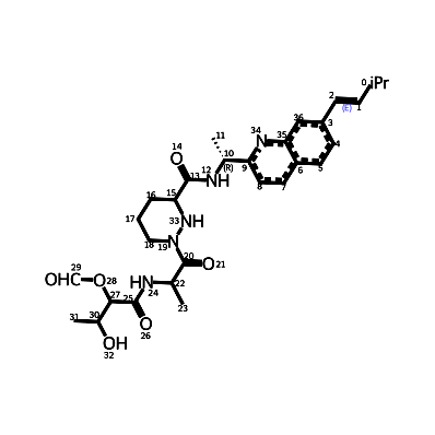 CC(C)/C=C/c1ccc2ccc([C@@H](C)NC(=O)C3CCCN(C(=O)C(C)NC(=O)C(OC=O)C(C)O)N3)nc2c1